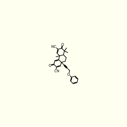 CC1(C)C(=O)C(C#N)=CC2(C)C3=CC(=O)C(C#N)=CC3(C#CCOc3ccccc3)CCC12